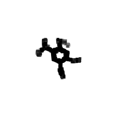 N#Cc1cc([N+](=O)[O-])c(N)cc1O